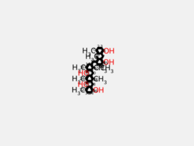 Cc1ccc(O)c(Cc2c(C)c(Cc3cc(C)c(O)c(Cc4cc(C)c(O)c(Cc5cc(C)ccc5O)c4C)c3C)cc(C)c2O)c1